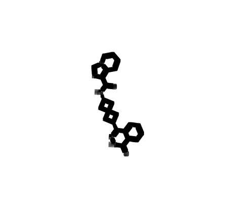 O=C(N[C@H]1CC2(C1)C[C@H](c1n[nH]c(=O)c3ccccc31)C2)c1ncn2ccccc12